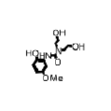 COc1ccc(O)c(NC(=O)N(CCO)CCO)c1